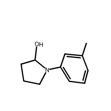 Cc1cccc(N2CCCC2O)c1